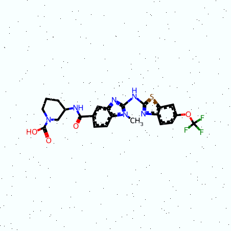 Cn1c(Nc2nc3ccc(OC(F)(F)F)cc3s2)nc2cc(C(=O)NC3CCCN(C(=O)O)C3)ccc21